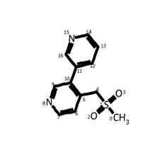 CS(=O)(=O)Cc1ccncc1-c1cccnc1